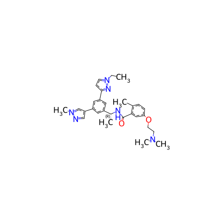 CCn1ccc(-c2cc(-c3cnn(C)c3)cc([C@@H](C)NC(=O)c3cc(OCCN(C)C)ccc3C)c2)n1